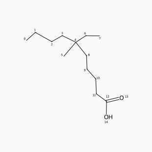 CCCCC(C)(CC)CCCCC(=O)O